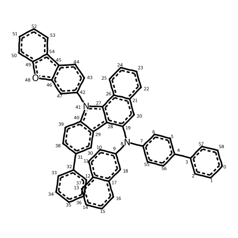 c1ccc(-c2ccc(N(c3ccc4ccccc4c3)c3cc4ccccc4c4c3c3cc(-c5ccccc5)ccc3n4-c3ccc4c(c3)oc3ccccc34)cc2)cc1